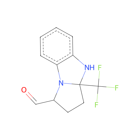 O=CC1CCC2(C(F)(F)F)Nc3ccccc3N12